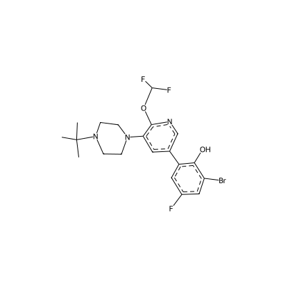 CC(C)(C)N1CCN(c2cc(-c3cc(F)cc(Br)c3O)cnc2OC(F)F)CC1